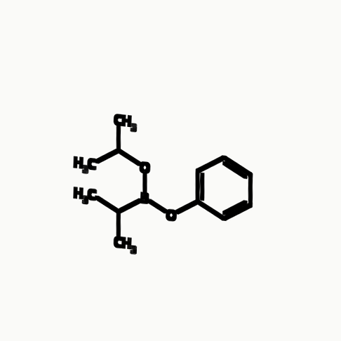 CC(C)OB(Oc1ccccc1)C(C)C